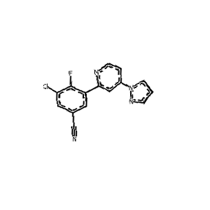 N#Cc1cc(Cl)c(F)c(-c2cc(-n3cccn3)ccn2)c1